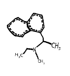 CCN(C)C(C)c1cccc2ccccc12